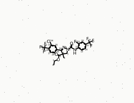 CCOC(=O)C1(C)CN(C(=O)Nc2ccc(C(F)(F)F)cc2F)N=C1c1ccc(C(F)(F)F)c(Cl)c1